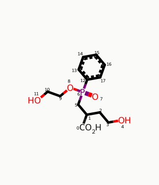 O=C(O)C(CCO)CP(=O)(OCCO)c1ccccc1